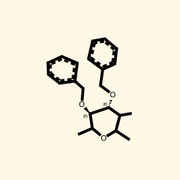 CC1OC(C)[C@@H](OCc2ccccc2)[C@H](OCc2ccccc2)C1C